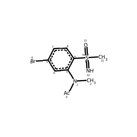 CC(=O)N(C)c1cc(Br)ccc1S(C)(=N)=O